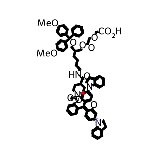 COc1ccc(C(OCC(CCCCNC(=O)C2CCN(S(=O)(=O)c3ccccc3-c3c4cc/c(=[N+]5/CCc6ccccc65)cc-4oc4cc(N5CCc6ccccc65)ccc34)CC2)COC(=O)COCC(=O)O)(c2ccccc2)c2ccc(OC)cc2)cc1